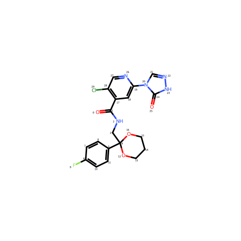 O=C(NCC1(c2ccc(F)cc2)OCCCO1)c1cc(-n2cn[nH]c2=O)ncc1Cl